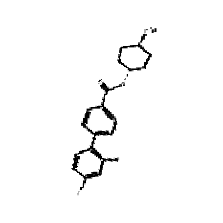 CCCC[C@H]1CC[C@H](OC(=O)c2ccc(-c3ccc(F)cc3F)cc2)CC1